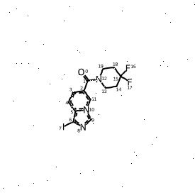 O=C(c1ccc2c(I)ncn2c1)N1CCC(F)(F)CC1